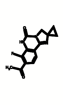 CC(=O)c1ccc2c(c1F)NC(=O)N1CC3(CC3)N=C21